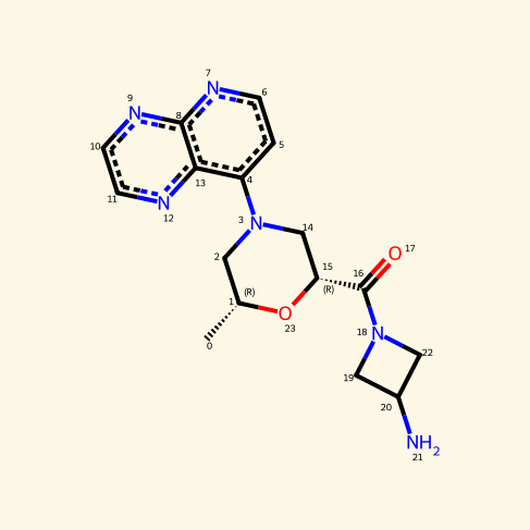 C[C@@H]1CN(c2ccnc3nccnc23)C[C@H](C(=O)N2CC(N)C2)O1